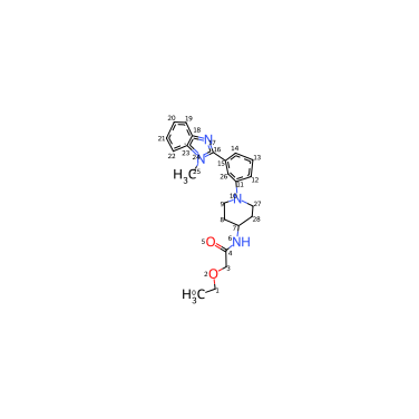 CCOCC(=O)NC1CCN(c2cccc(-c3nc4ccccc4n3C)c2)CC1